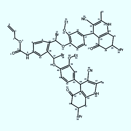 C=CCOC(=O)Nc1ccc(C(Br)Oc2ccc(C3C(C#N)=C(C)NC4=C3C(=O)CC(CCC)C4)cc2OCC)c(C(Br)Oc2ccc(C3C(C#N)=C(C)NC4=C3C(=O)CC(CCC)C4)cc2OCC)c1